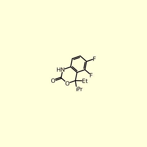 CCC1(C(C)C)OC(=O)Nc2ccc(F)c(F)c21